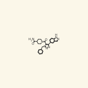 NC(=O)C1CCN(C(=O)c2c(-c3ccc4[nH]ncc4c3)nnn2Cc2ccccc2)CC1